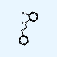 Oc1ccccc1NCOc1ccccc1